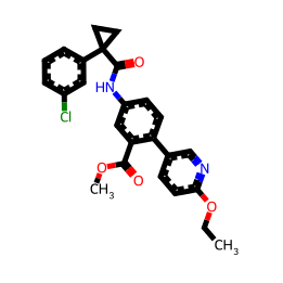 CCOc1ccc(-c2ccc(NC(=O)C3(c4cccc(Cl)c4)CC3)cc2C(=O)OC)cn1